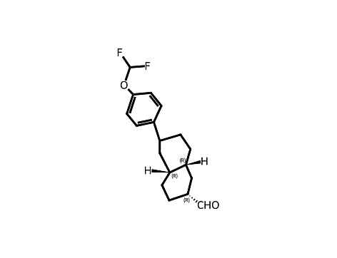 O=C[C@@H]1CC[C@@H]2CC(c3ccc(OC(F)F)cc3)CC[C@@H]2C1